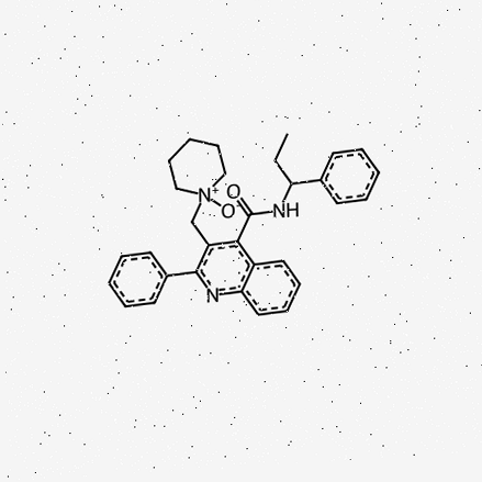 CCC(NC(=O)c1c(C[N+]2([O-])CCCCC2)c(-c2ccccc2)nc2ccccc12)c1ccccc1